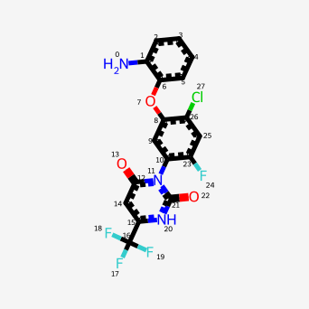 Nc1ccccc1Oc1cc(-n2c(=O)cc(C(F)(F)F)[nH]c2=O)c(F)cc1Cl